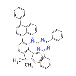 CC1(C)c2ccccc2-c2c1ccc1c2N(c2nc(-c3ccccc3)nc(-c3ccccc3)n2)c2cccc3c(-c4ccccc4)ccc-1c23